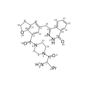 CC(C)C(N)C(=O)N1CCN(C(=O)c2cc(Cc3n[nH]c(=O)c4ccccc34)cc3c2OCC3)CC1